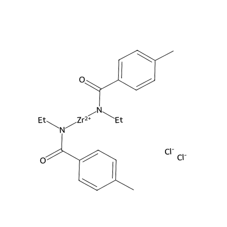 CC[N]([Zr+2][N](CC)C(=O)c1ccc(C)cc1)C(=O)c1ccc(C)cc1.[Cl-].[Cl-]